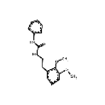 COc1cccc(CCNC(=S)Nc2ccccc2)c1OC